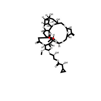 C=C1C[C@@H]2CC[C@@]3(O)C[C@@H](O)[C@@H]4C[C@@H]5[C@H]4O[C@H]4CC[C@@H]6CC(=O)C[C@@H]7[C@@H](OC)[C@@H](C[C@H](O)COC(=O)[C@H](O)C8CC8)O[C@H]7C[C@H]7O[C@@H](CC[C@@H]1O2)C[C@@H](C)C7=N[C@@]4(O6)[C@@H]5O3